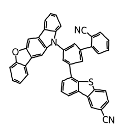 N#Cc1ccc2sc3c(-c4cc(-c5ccccc5C#N)cc(-n5c6ccccc6c6cc7oc8ccccc8c7cc65)c4)cccc3c2c1